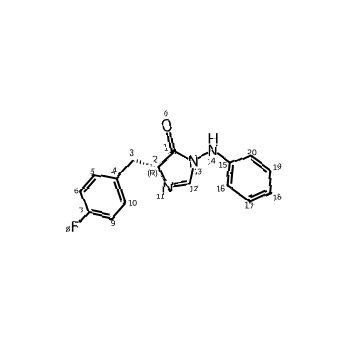 O=C1[C@@H](Cc2ccc(F)cc2)N=CN1Nc1ccccc1